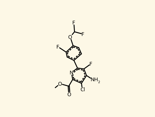 COC(=O)c1nc(-c2ccc(OC(F)F)c(F)c2)c(F)c(N)c1Cl